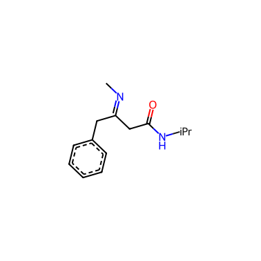 C/N=C(/CC(=O)NC(C)C)Cc1ccccc1